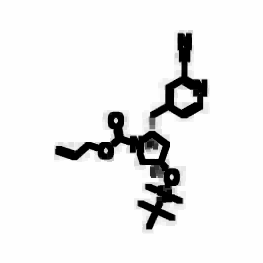 C=CCOC(=O)N1C[C@H](O[Si](C)(C)C(C)(C)C)C[C@H]1Cc1ccnc(C#N)c1